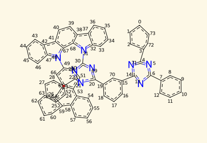 c1ccc(-c2nc(-c3ccccc3)nc(-c3cccc(-c4nc(-c5ccccc5)nc(-n5c6ccccc6c6ccc7c8ccccc8n(-c8ccc9c%10ccccc%10c%10ccccc%10c9c8)c7c65)n4)c3)n2)cc1